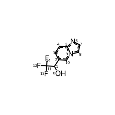 OC(c1ccc2nccn2c1)C(F)(F)F